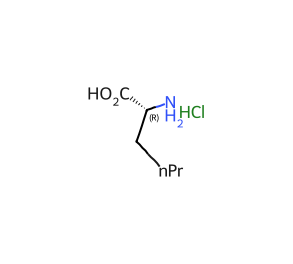 CCCC[C@@H](N)C(=O)O.Cl